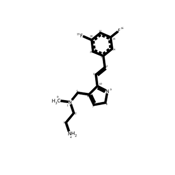 CN(CCN)CC1=CCN=C1/C=C/c1cc(F)cc(F)c1